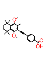 COc1c(C)c(C#Cc2ccc(C(=O)O)cc2)c(OC)c2c1C(C)(C)CCC2(C)C